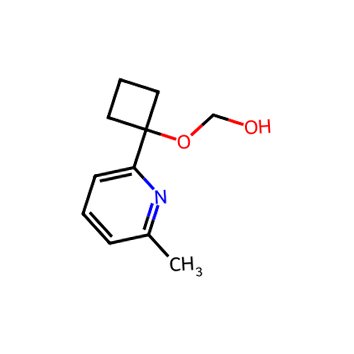 Cc1cccc(C2(OCO)CCC2)n1